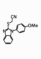 COc1ccc(-n2c(SCC#N)nc3ccccc32)cc1